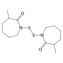 CC1CCCCN(SSN2CCCCC(C)C2=O)C1=O